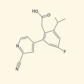 CC(C)c1cc(F)cc(-c2ccnc(C#N)c2)c1CC(=O)O